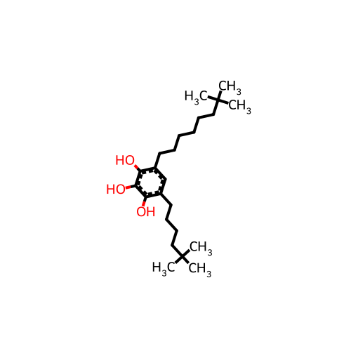 CC(C)(C)CCCCCCc1cc(CCCCC(C)(C)C)c(O)c(O)c1O